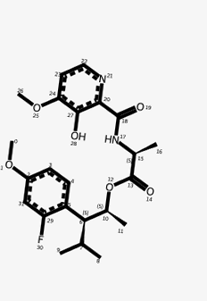 COc1ccc([C@H](C(C)C)[C@H](C)OC(=O)[C@H](C)NC(=O)c2nccc(OC)c2O)c(F)c1